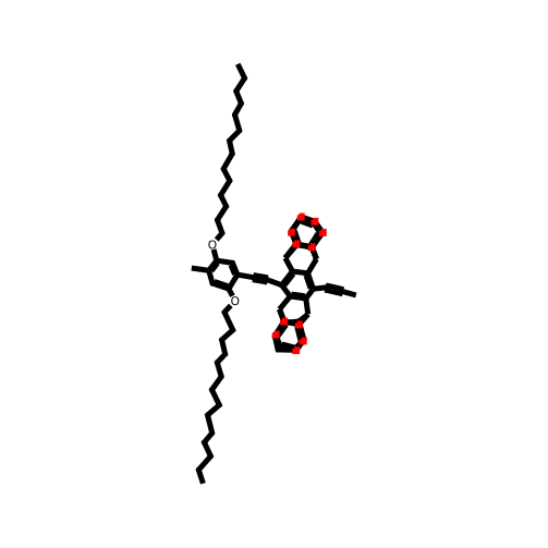 CC#Cc1c2c(c(C#Cc3cc(OCCCCCCCCCCCCCC)c(C)cc3OCCCCCCCCCCCCCC)c3c1C1c4ccccc4C3c3ccccc31)C1c3ccccc3C2c2ccccc21